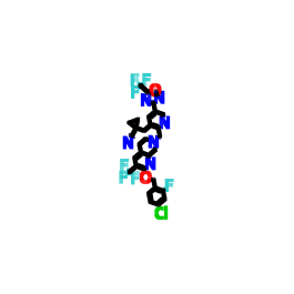 N#CC1(Cc2cc(-c3noc(C(F)(F)F)n3)cnc2CN2CCc3cc(C(F)(F)F)c(OCc4ccc(Cl)cc4F)nc3C2)CC1